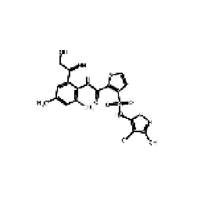 Cc1cc(C)c(NC(=O)c2sccc2S(=O)(=O)Nc2onc(C)c2Cl)c(C(=N)CO)c1